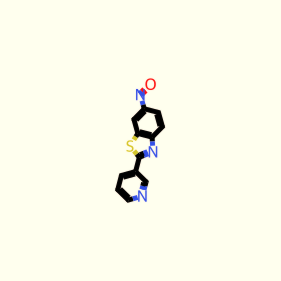 O=Nc1ccc2nc(-c3cccnc3)sc2c1